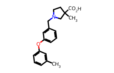 Cc1cccc(Oc2cccc(CN3CCC(C)(C(=O)O)C3)c2)c1